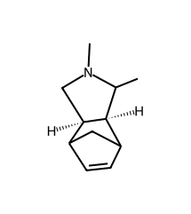 CC1[C@H]2C3C=CC(C3)[C@H]2CN1C